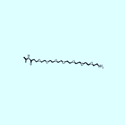 C=C(C)NC(=O)CCOCCOCCOCCOCCOCCOCCOCCN